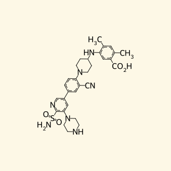 Cc1cc(C)c(C(=O)O)cc1NC1CCN(c2ccc(-c3cnc(S(N)(=O)=O)c(N4CCNCC4)c3)cc2C#N)CC1